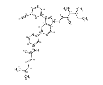 CC[C@H](C)[C@H](N)C(=O)OCn1cc(-c2cccc(C#N)c2)c2cc(-c3cccc(NC(=O)/C=C/CN(C)C)c3)cnc21